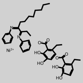 CCCCCCCCC(=Nc1ccccc1)C(CC)=Nc1ccccc1.CCc1ccc(O)c(O)c1C(=O)[O-].CCc1ccc(O)c(O)c1C(=O)[O-].[Ni+2]